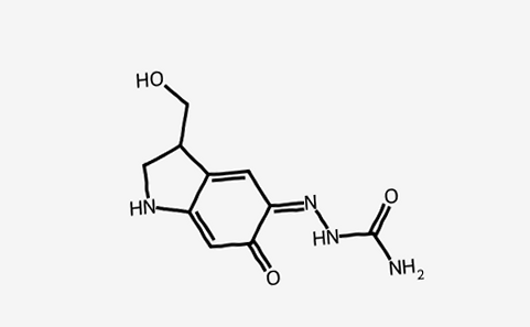 NC(=O)NN=C1C=C2C(=CC1=O)NCC2CO